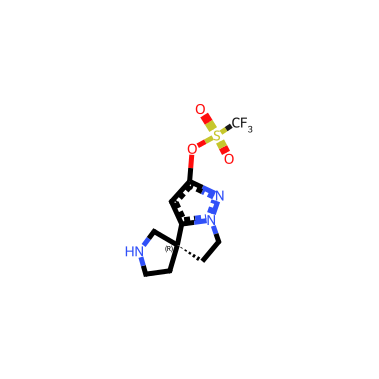 O=S(=O)(Oc1cc2n(n1)CC[C@@]21CCNC1)C(F)(F)F